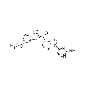 COc1cccc(CN(C)C(=O)c2cccc3c2ccn3-c2ccnc(N)n2)c1